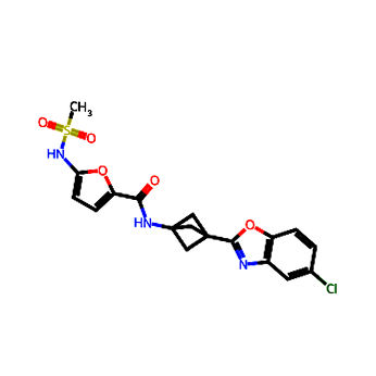 CS(=O)(=O)Nc1ccc(C(=O)NC23CC(c4nc5cc(Cl)ccc5o4)(C2)C3)o1